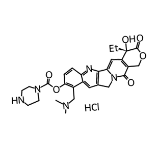 CC[C@@]1(O)C(=O)OCc2c1cc1n(c2=O)Cc2cc3c(CN(C)C)c(OC(=O)N4CCNCC4)ccc3nc2-1.Cl